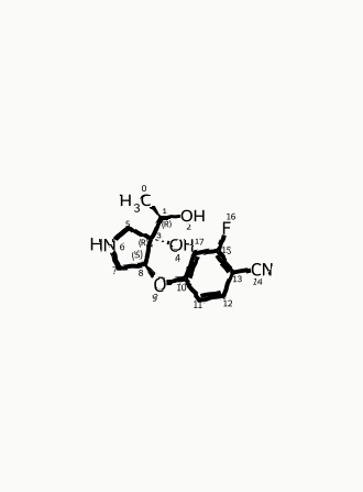 C[C@@H](O)[C@]1(O)CNC[C@@H]1Oc1ccc(C#N)c(F)c1